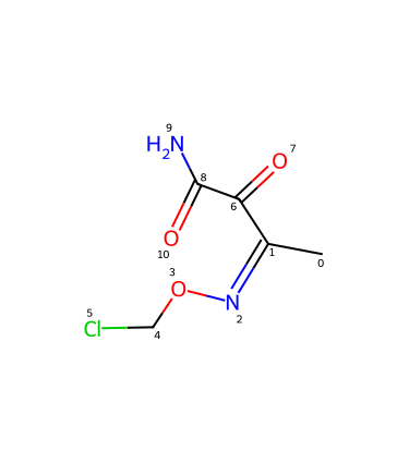 CC(=NOCCl)C(=O)C(N)=O